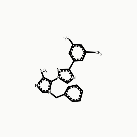 O=[N+]([O-])c1ncn(Cc2ccccc2)c1-n1cnc(-c2cc(C(F)(F)F)cc(C(F)(F)F)c2)n1